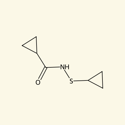 O=C(NSC1CC1)C1CC1